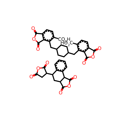 O=C(O)c1ccc2c(c1CC1CCC(Cc3c(C(=O)O)ccc4c3C(=O)OC4=O)CC1)C(=O)OC2=O.O=C1CC(C2CC3C(=O)OC(=O)C3c3ccccc32)C(=O)O1